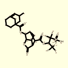 CC1C=C2CCCC(C(=O)OC3C4CC5C3OC(=O)C5C4C(=O)OC(C(F)(F)F)C(F)(F)S(=O)(=O)O)(C2)C1